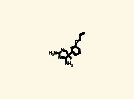 C=CCOc1cccc(C2(F)C=NC(N)N=C2N)c1